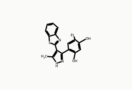 CCc1cc(-c2n[nH]c(C)c2-c2nc3ccccc3s2)c(O)cc1O